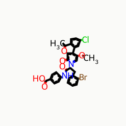 COc1cn(C(Cc2ccccc2Br)C(=O)Nc2ccc(C(=O)O)cc2)c(=O)cc1-c1cc(Cl)ccc1C(C)=O